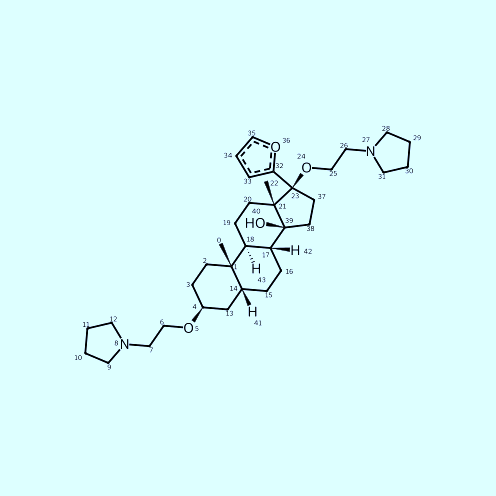 C[C@]12CC[C@H](OCCN3CCCC3)C[C@H]1CC[C@@H]1[C@@H]2CC[C@]2(C)[C@](OCCN3CCCC3)(c3ccco3)CC[C@]12O